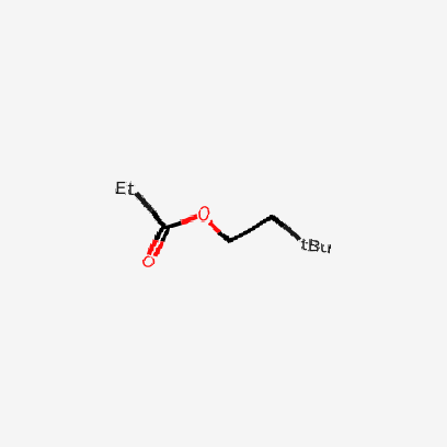 CCC(=O)OCCC(C)(C)C